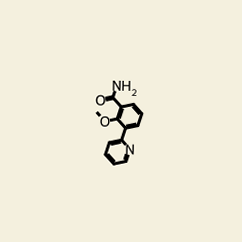 COc1c(C(N)=O)cccc1-c1ccccn1